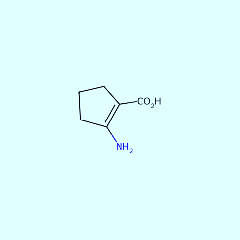 NC1=C(C(=O)O)CCC1